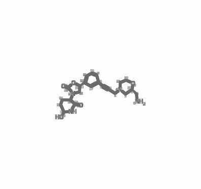 NC[C@H]1CN(CC#Cc2cccc([C@H]3CN(C4CCC(O)NC4=O)C(=O)O3)c2)CCO1